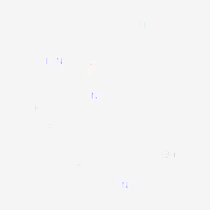 CC(C)(C)c1cncc(-c2cc3c(cc2F)C(F)(F)CC(N)C(=O)N3Cc2ccc(Cl)cc2)c1